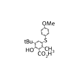 COc1ccc(Sc2cc(C(C)(C)C)c(O)c(C(=O)O)c2C)cc1